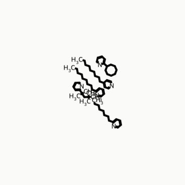 CC(C)(C)CC(C)(C)c1ccccn1.CCCCCCCCCc1ccccn1.CCCCCCCCCc1ccncc1.CCCCCCCCc1ccccn1.c1ccc(C2CCCCCCC2)nc1